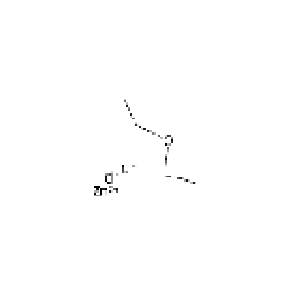 CCOCC.[Cl-].[Cl-].[Zn+2]